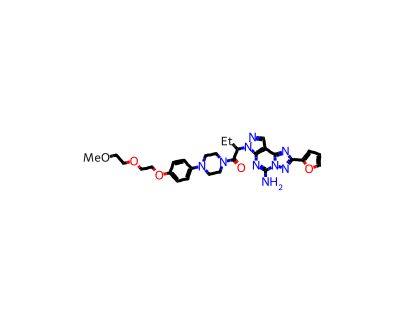 CCC(C(=O)N1CCN(c2ccc(OCCOCCOC)cc2)CC1)n1ncc2c1nc(N)n1nc(-c3ccco3)nc21